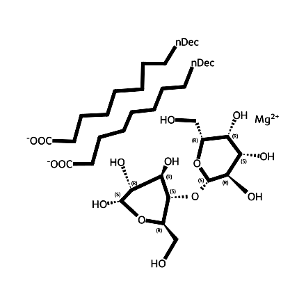 CCCCCCCCCCCCCCCCCC(=O)[O-].CCCCCCCCCCCCCCCCCC(=O)[O-].OC[C@H]1O[C@@H](O[C@H]2[C@H](O)[C@@H](O)[C@@H](O)O[C@@H]2CO)[C@H](O)[C@@H](O)[C@H]1O.[Mg+2]